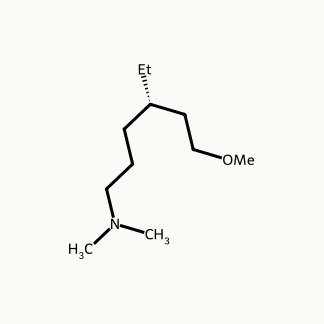 CC[C@@H](CCCN(C)C)CCOC